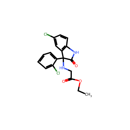 CCOC(=O)CNC1(c2ccccc2Cl)C(=O)Nc2ccc(Cl)cc21